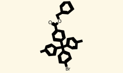 Cc1ccc(C(c2ccc(C)cc2)(c2ccc(Br)cc2)c2ccc(C(=O)OCc3ccccc3)cc2)cc1